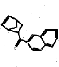 O=C(c1ccc2ccccc2c1)C1CC2C=CC1C2